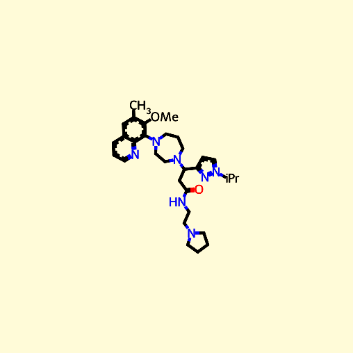 COc1c(C)cc2cccnc2c1N1CCCN(C(CC(=O)NCCN2CCCC2)c2ccn(C(C)C)n2)CC1